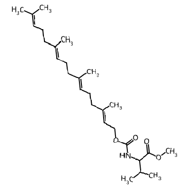 COC(=O)C(NC(=O)OC/C=C(\C)CC/C=C(\C)CC/C=C(\C)CCC=C(C)C)C(C)C